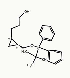 CC(C)(C)[Si](OC[C@H]1C[C@H]1CCCO)(c1ccccc1)c1ccccc1